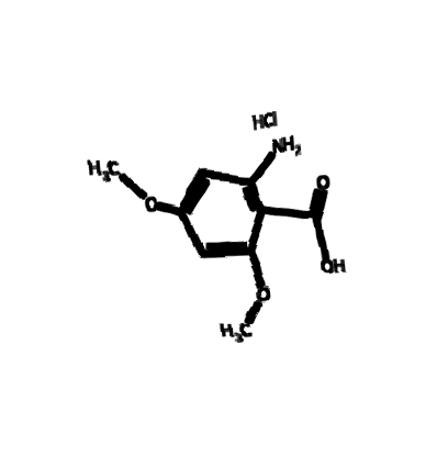 COc1cc(N)c(C(=O)O)c(OC)c1.Cl